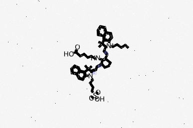 CCCCC[N+]1=C(/C=C/C2=C(NCCCCCC(=O)O)C(=C/C=C3/N(CCCCS(=O)(=O)O)c4ccc5ccccc5c4C3(C)C)/CCC2)C(C)(C)c2c1ccc1ccccc21